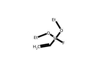 C=C[Si](F)(OCC)OCC